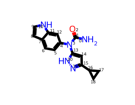 NC(=O)N(c1ccc2cc[nH]c2c1)c1cc(C2CC2)n[nH]1